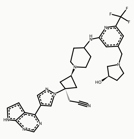 N#CC[C@]1(n2cc(-c3ncnc4[nH]ccc34)cn2)C[C@@H](N2CCC(Nc3cc(CN4CC[C@@H](O)C4)cc(C(F)(F)F)n3)CC2)C1